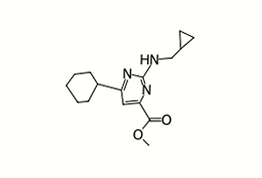 COC(=O)c1cc(C2CCCCC2)nc(NCC2CC2)n1